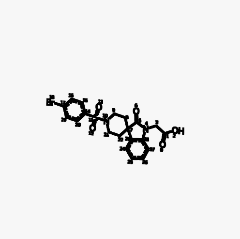 O=C(O)CN1C(=O)C2(CCN(S(=O)(=O)c3ccc(Br)cc3)CC2)c2ccccc21